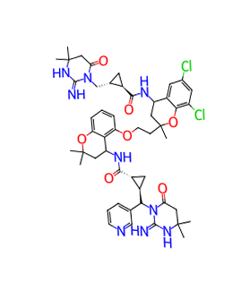 CC1(C)CC(=O)N(C[C@@H]2C[C@H]2C(=O)NC2CC(C)(CCOc3cccc4c3C(NC(=O)[C@@H]3C[C@H]3C(c3cccnc3)N3C(=N)NC(C)(C)CC3=O)CC(C)(C)O4)Oc3c(Cl)cc(Cl)cc32)C(=N)N1